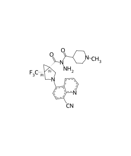 CN1CCC(C(=O)N(N)C(=O)[C@]23CN(c4ccc(C#N)c5ncccc45)C[C@@]2(C(F)(F)F)C3)CC1